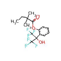 CCC(C)(C)C(=O)Oc1ccccc1C(O)(C(F)(F)F)C(F)(F)F